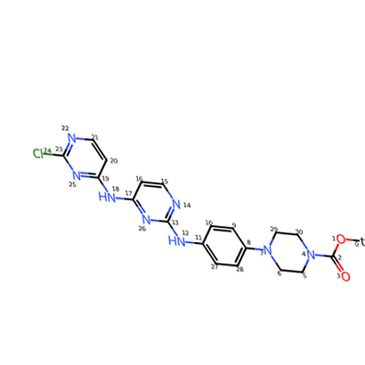 CC(C)(C)OC(=O)N1CCN(c2ccc(Nc3nccc(Nc4ccnc(Cl)n4)n3)cc2)CC1